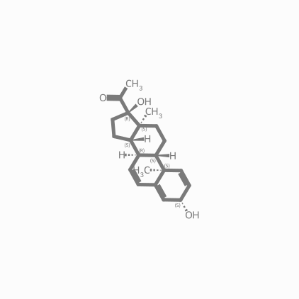 CC(=O)[C@@]1(O)CC[C@H]2[C@@H]3C=CC4=C[C@@H](O)C=C[C@]4(C)[C@H]3CC[C@@]21C